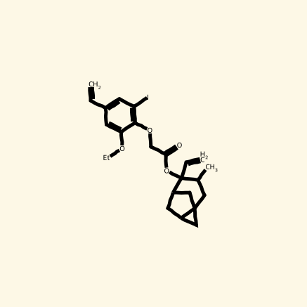 C=Cc1cc(I)c(OCC(=O)OC2(C=C)C(C)CC34CC3CC2C4)c(OCC)c1